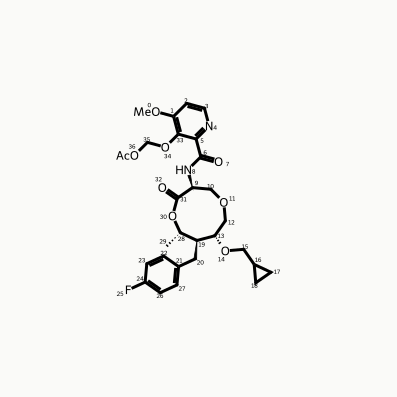 COc1ccnc(C(=O)N[C@H]2COC[C@H](OCC3CC3)[C@@H](Cc3ccc(F)cc3)[C@H](C)OC2=O)c1OCOC(C)=O